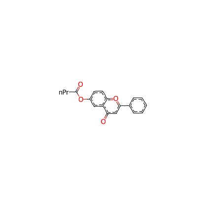 CCCC(=O)Oc1ccc2oc(-c3ccccc3)cc(=O)c2c1